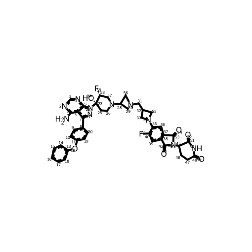 Nc1ncnc2c1c(-c1ccc(Oc3ccccc3)cc1)nn2[C@]1(O)CCN(C2CN(CC3CN(c4cc5c(cc4F)C(=O)N(C4CCC(=O)NC4=O)C5=O)C3)C2)C[C@H]1F